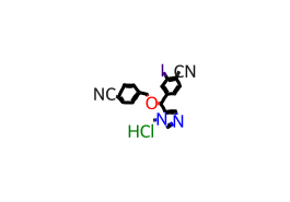 Cl.Cn1cncc1C(OCc1ccc(C#N)cc1)c1ccc(C#N)c(I)c1